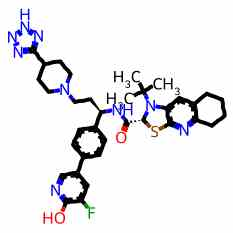 CC(C)(C)N1c2cc3c(nc2S[C@@H]1C(=O)N[C@H](CCN1CCC(c2nn[nH]n2)CC1)c1ccc(-c2cnc(O)c(F)c2)cc1)CCCC3